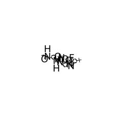 C=CC(=O)NCc1cccc(Nc2nc(-c3cccc(-n4ncc5cc(C(C)(C)C)cc(F)c5c4=O)c3CO)cn(C)c2=O)c1